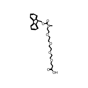 CN(CCOCCOCCOCCOCCC(=O)O)C(=O)OCC1c2ccccc2-c2ccccc21